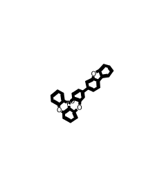 O=P12c3ccccc3Oc3cccc(c31)Oc1cc(-c3ccc4c(c3)oc3ccccc34)ccc12